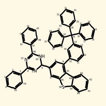 c1ccc(C2=NC(c3cc(-c4cccc(C(c5ccccc5)(c5ccccc5)c5ccccc5)c4)c4c(c3)sc3ccccc34)NC(c3ccccc3)=N2)cc1